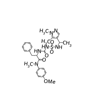 COc1ccc(N(C)C(=O)C(Cc2ccccc2)NC(=O)NS(=O)(=O)NC(C)c2cnn(C)c2C)cc1